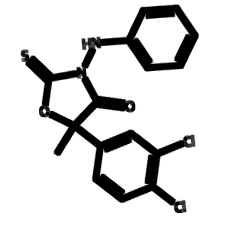 CC1(c2ccc(Cl)c(Cl)c2)OC(=S)N(Nc2ccccc2)C1=O